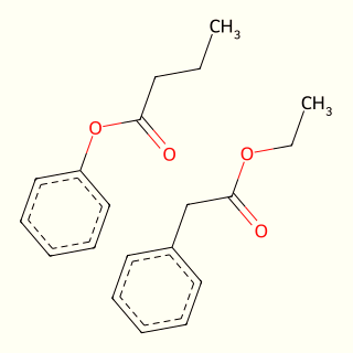 CCCC(=O)Oc1ccccc1.CCOC(=O)Cc1ccccc1